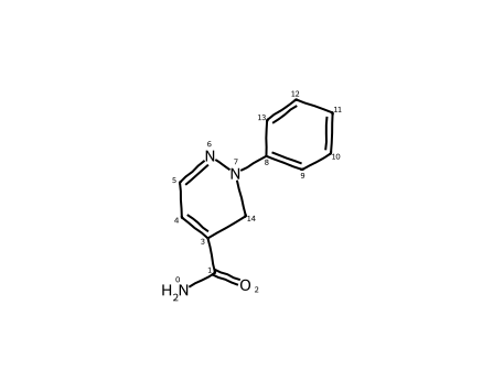 NC(=O)C1=CC=NN(c2ccccc2)C1